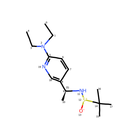 CCN(CC)c1ccc([C@H](C)N[S+]([O-])C(C)(C)C)cn1